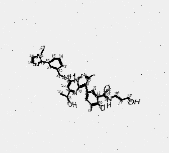 Cc1cc(-c2c(C)nn3c(NCc4cccc(-c5nccn5C)c4)cc(C(C)O)nc23)cc(C(=O)NCCCO)c1Cl